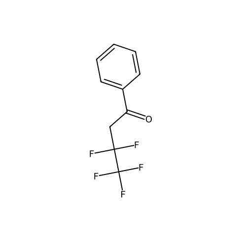 O=C(CC(F)(F)C(F)(F)F)c1ccccc1